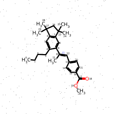 CCCCc1cc2c(cc1/C(C)=C/c1ccc(C(=O)OC)cc1)C(C)(C)CC2(C)C